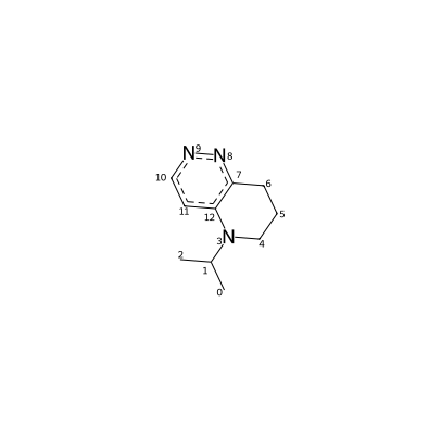 CC(C)N1CCCc2nnccc21